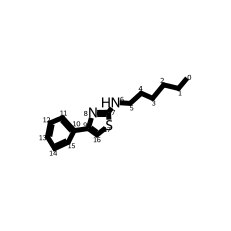 CCCCCCNc1nc(-c2ccccc2)cs1